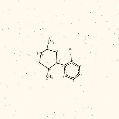 CC1CN(c2ccccc2F)C(C)CN1